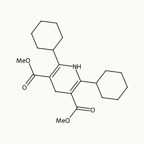 COC(=O)C1=C(C2CCCCC2)NC(C2CCCCC2)=C(C(=O)OC)C1